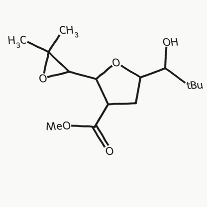 COC(=O)C1CC(C(O)C(C)(C)C)OC1C1OC1(C)C